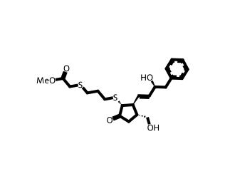 COC(=O)CSCCCS[C@H]1C(=O)C[C@@H](CO)[C@@H]1/C=C/[C@@H](O)Cc1ccccc1